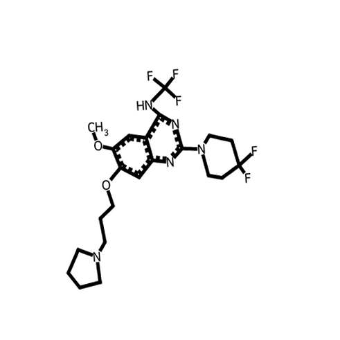 COc1cc2c(NC(F)(F)F)nc(N3CCC(F)(F)CC3)nc2cc1OCCCN1CCCC1